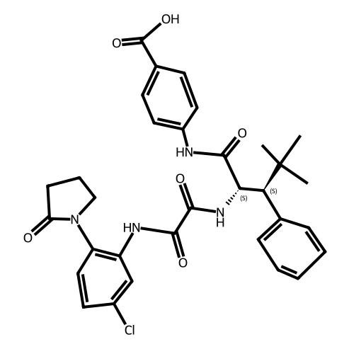 CC(C)(C)[C@@H](c1ccccc1)[C@H](NC(=O)C(=O)Nc1cc(Cl)ccc1N1CCCC1=O)C(=O)Nc1ccc(C(=O)O)cc1